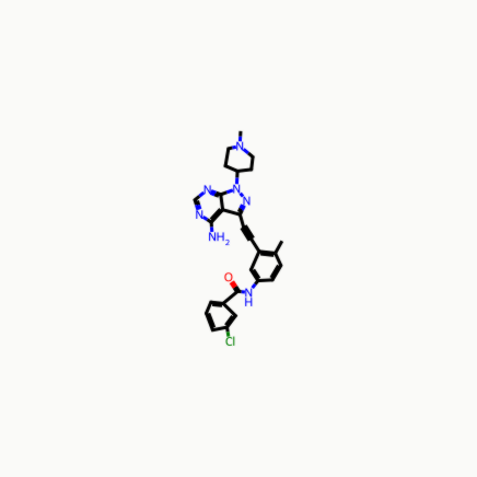 Cc1ccc(NC(=O)c2cccc(Cl)c2)cc1C#Cc1nn(C2CCN(C)CC2)c2ncnc(N)c12